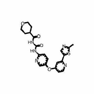 Cc1ncc(-c2cc(Oc3ccc(NC(=O)NC(=O)C4CCOCC4)nc3)ccn2)s1